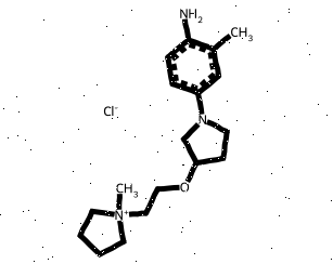 Cc1cc(N2CCC(OCC[N+]3(C)CCCC3)C2)ccc1N.[Cl-]